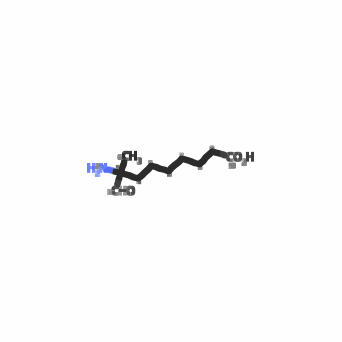 CC(N)(C=O)CCCCCCC(=O)O